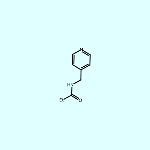 CCC(=O)NCc1ccncc1